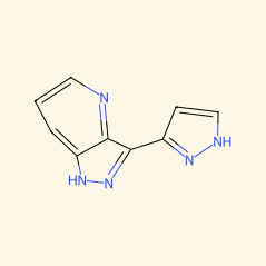 c1cnc2c(-c3cc[nH]n3)n[nH]c2c1